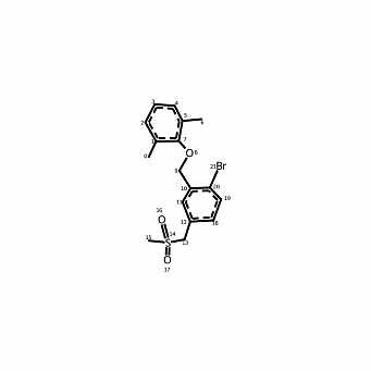 Cc1cccc(C)c1OCc1cc(CS(C)(=O)=O)ccc1Br